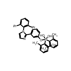 Cc1cccc(C)c1P(O)(O)(Oc1cccc(-c2nccn2-c2c(C(C)C)cccc2C(C)C)c1)c1c(C)cccc1C